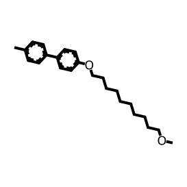 COCCCCCCCCCCOc1ccc(-c2ccc(C)cc2)cc1